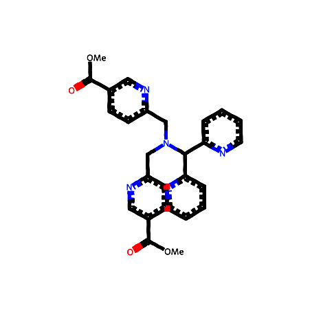 COC(=O)c1ccc(CN(Cc2ccc(C(=O)OC)cn2)C(c2ccccn2)c2ccccn2)nc1